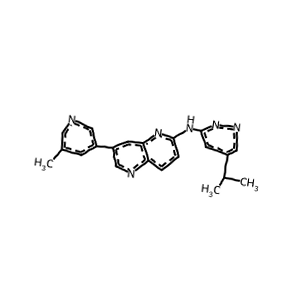 Cc1cncc(-c2cnc3ccc(Nc4cc(C(C)C)cnn4)nc3c2)c1